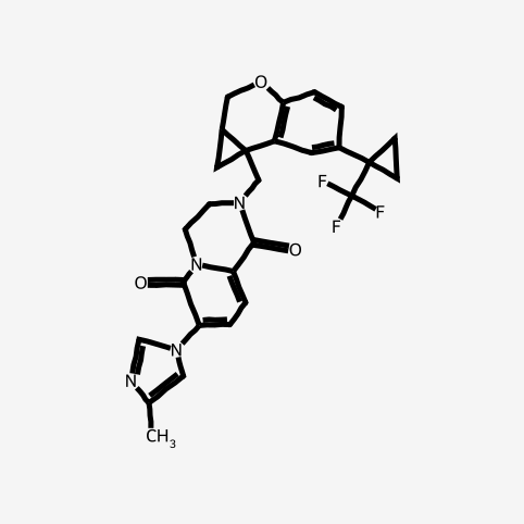 Cc1cn(-c2ccc3n(c2=O)CCN(CC24CC2COc2ccc(C5(C(F)(F)F)CC5)cc24)C3=O)cn1